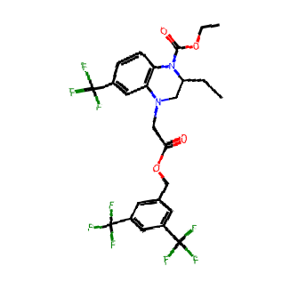 CCOC(=O)N1c2ccc(C(F)(F)F)cc2N(CC(=O)OCc2cc(C(F)(F)F)cc(C(F)(F)F)c2)CC1CC